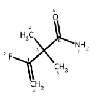 C=C(F)C(C)(C)C(N)=O